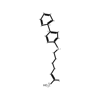 CC(=CCCCCSc1ccc(-c2ccccc2)cc1)C(=O)O